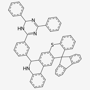 c1ccc(C2=NC(c3ccccc3)NC(c3cccc(C4Nc5ccccc5-c5cc6c(cc54)Sc4ccccc4C64c5ccccc5-c5ccccc54)c3)=N2)cc1